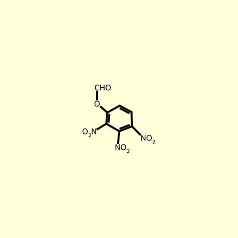 O=COc1ccc([N+](=O)[O-])c([N+](=O)[O-])c1[N+](=O)[O-]